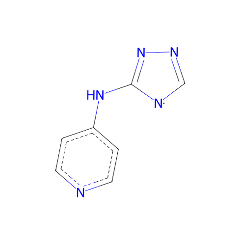 C1=NN=C(Nc2ccncc2)[N]1